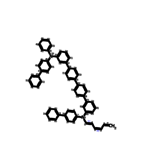 C=C/C=C\C=C\N(c1ccc(-c2ccccc2)cc1)c1cccc(-c2ccc(-c3ccc(-c4cccc(N(c5ccccc5)c5ccc(-c6ccccc6)cc5)c4)cc3)cc2)c1